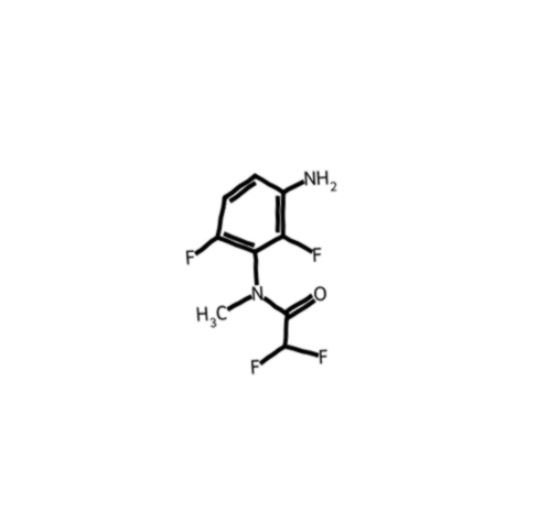 CN(C(=O)C(F)F)c1c(F)ccc(N)c1F